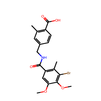 COc1cc(C(=O)NCc2ccc(C(=O)O)c(C)c2)c(C)c(Br)c1OC